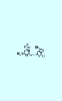 Nc1cc(C(F)(F)F)nc(SCCc2cc3c(Br)csc3c(Cl)n2)n1